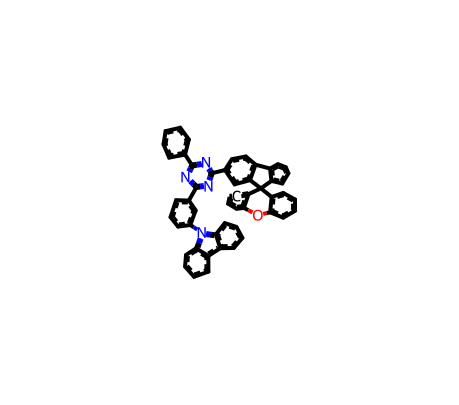 c1ccc(-c2nc(-c3cccc(-n4c5ccccc5c5ccccc54)c3)nc(-c3ccc4c(c3)C3(c5ccccc5Oc5ccccc53)c3ccccc3-4)n2)cc1